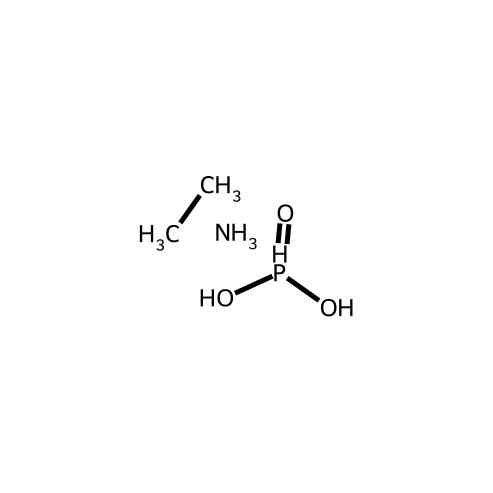 CC.N.O=[PH](O)O